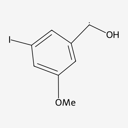 COc1cc(I)cc([CH]O)c1